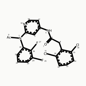 CC(=O)N(c1cc(NC(=O)Cc2c(Cl)cccc2Cl)ccn1)c1cccc(F)c1F